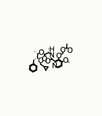 COc1ccnc(C(=O)N[C@@H](C)C(=O)O[C@@H](C)[C@@H](Cc2ccccc2)OCC2CC2)c1OCOC(C)=O